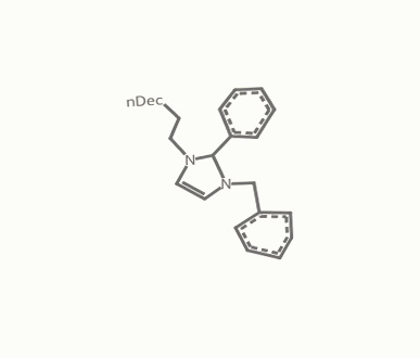 CCCCCCCCCCCCN1C=CN(Cc2ccccc2)C1c1ccccc1